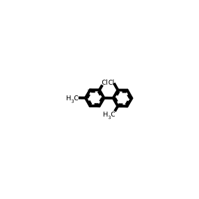 Cc1[c]c(Cl)c(-c2c(C)cccc2Cl)cc1